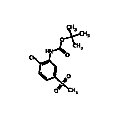 CC(C)(C)OC(=O)Nc1cc(S(C)(=O)=O)ccc1Cl